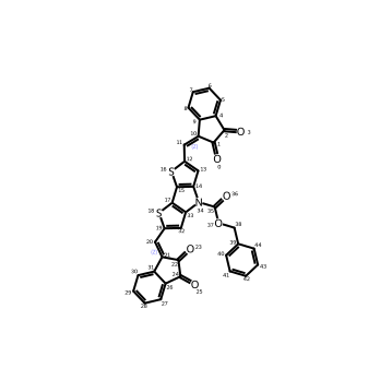 O=C1C(=O)c2ccccc2/C1=C/c1cc2c(s1)c1sc(/C=C3\C(=O)C(=O)c4ccccc43)cc1n2C(=O)OCc1ccccc1